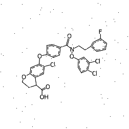 O=C(O)C1CCOc2cc(Oc3ccc(C(=O)N(CCc4cccc(F)c4)Oc4ccc(Cl)c(Cl)c4)cc3)c(Cl)cc21